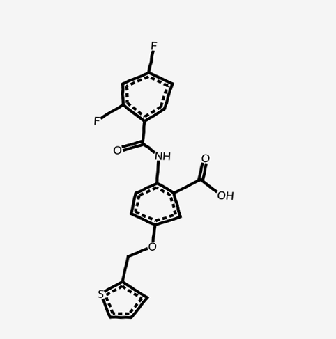 O=C(Nc1ccc(OCc2cccs2)cc1C(=O)O)c1ccc(F)cc1F